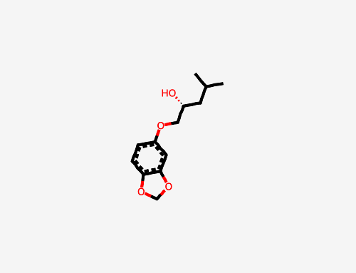 CC(C)C[C@@H](O)COc1ccc2c(c1)OCO2